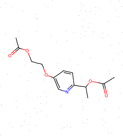 CC(=O)OCCOc1ccc(C(C)OC(C)=O)nc1